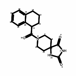 O=C1NC(=O)C2(CCN(C(=O)C3CCCc4ccccc43)CC2)N1